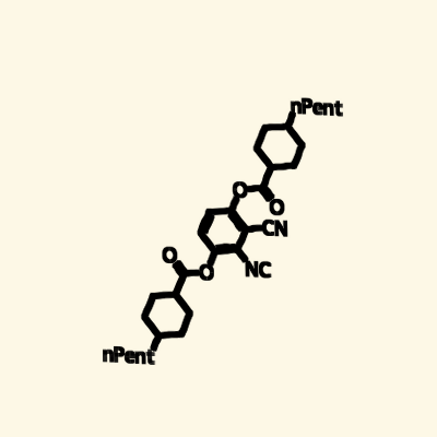 [C-]#[N+]c1c(OC(=O)C2CCC(CCCCC)CC2)ccc(OC(=O)C2CCC(CCCCC)CC2)c1C#N